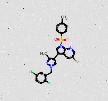 Cc1ccc(S(=O)(=O)n2cc(-c3cn(Cc4cc(Cl)ccc4F)nc3C)c3cc(Br)cnc32)cc1